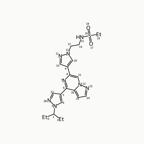 CCC(CC)n1cc(-c2nc(-c3cnn(CCNS(=O)(=O)CC)c3)cn3nccc23)cn1